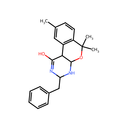 Cc1ccc2c(c1)C1C(O)=NC(Cc3ccccc3)NC1OC2(C)C